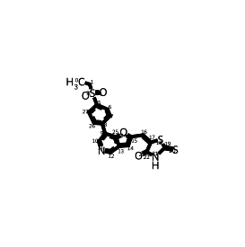 CCS(=O)(=O)c1ccc(-c2cncc3cc(C=C4SC(=S)NC4=O)oc23)cc1